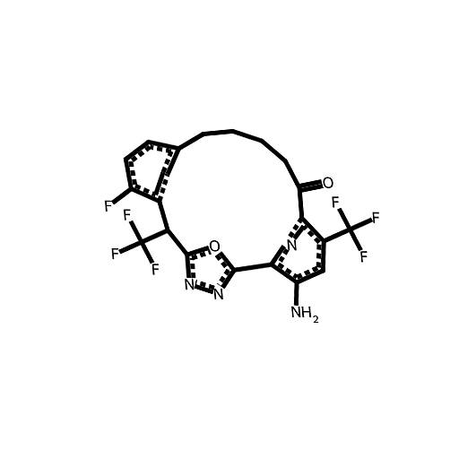 Nc1cc(C(F)(F)F)c2nc1-c1nnc(o1)C(C(F)(F)F)c1cc(ccc1F)CCCCC2=O